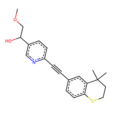 COCC(O)c1ccc(C#Cc2ccc3c(c2)C(C)(C)CCS3)nc1